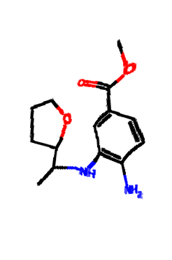 COC(=O)c1ccc(N)c(NC(C)C2CCCO2)c1